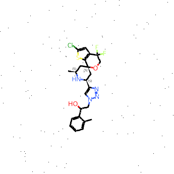 Cc1ccccc1C(O)Cn1cc([C@@H]2C[C@]3(C[C@H](C)N2)OCC(F)(F)c2cc(Cl)sc23)nn1